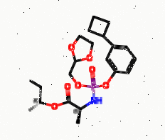 CC[C@@H](C)OC(=O)[C@H](C)NP(=O)(OCC1OCCO1)Oc1cccc(C2CCC2)c1